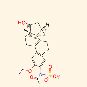 CCOc1cc2c(cc1N(C(C)=O)S(=O)(=O)O)CCC1=C2CC[C@]2(C)[C@@H](O)C[C@@H]3C[C@@]132